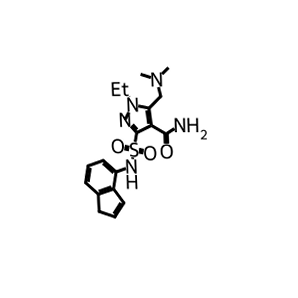 CCn1nc(S(=O)(=O)Nc2cccc3c2C=CC3)c(C(N)=O)c1CN(C)C